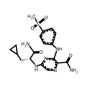 CS(=O)(=O)c1ccc(Nc2nc(N[C@H](CC3CC3)C(N)=O)cnc2C(N)=O)cc1